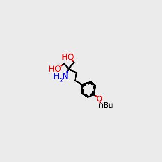 CCCCOc1ccc(CCC(N)(CO)CO)cc1